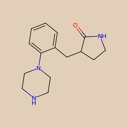 O=C1NCCC1Cc1ccccc1N1CCNCC1